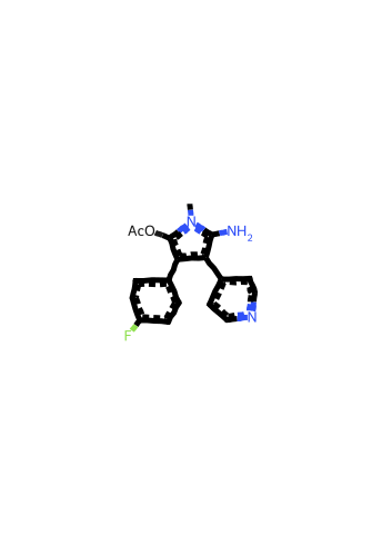 CC(=O)Oc1c(-c2ccc(F)cc2)c(-c2ccncc2)c(N)n1C